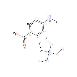 CC[N+](CC)(CC)CC.CNc1ccc(C(=O)[O-])cc1